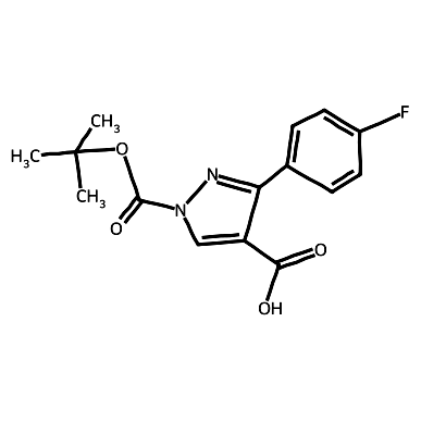 CC(C)(C)OC(=O)n1cc(C(=O)O)c(-c2ccc(F)cc2)n1